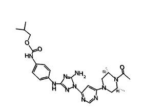 CC(=O)N1[C@H](C)CN(c2cc(-n3nc(Nc4ccc(NC(=O)OCC(C)C)cc4)nc3N)ncn2)C[C@@H]1C